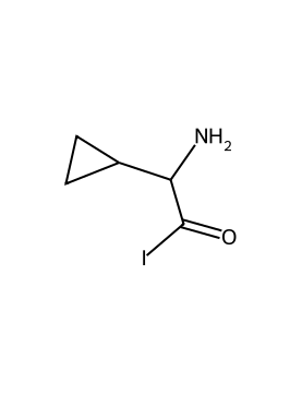 NC(C(=O)I)C1CC1